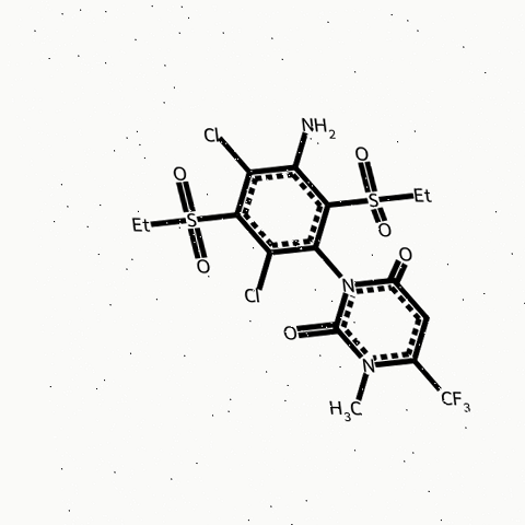 CCS(=O)(=O)c1c(Cl)c(N)c(S(=O)(=O)CC)c(-n2c(=O)cc(C(F)(F)F)n(C)c2=O)c1Cl